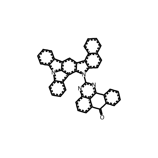 O=C1c2ccccc2-c2nc(-n3c4ccc5ccccc5c4c4cc5c6ccccc6n6c7ccccc7c(c43)c56)nc3cccc1c23